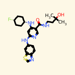 CC(C)(O)CCNC(=O)c1cnc(Nc2ccc3ncsc3c2)cc1N[C@H]1CC[C@@H](F)CC1